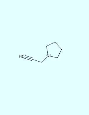 C#CC[N+]1CCCC1